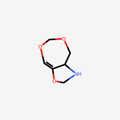 C1=C2OCNC2COCO1